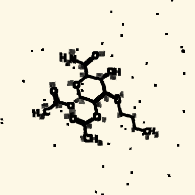 CCCCOC1C(OC(C)=O)[C@H](OC(C)=O)OC(C(N)=O)[C@H]1O